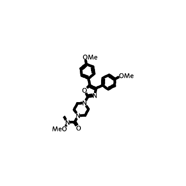 COc1ccc(-c2nc(N3CCN(C(=O)N(C)OC)CC3)oc2-c2ccc(OC)cc2)cc1